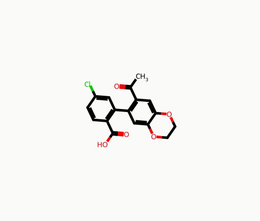 CC(=O)c1cc2c(cc1-c1cc(Cl)ccc1C(=O)O)OCCO2